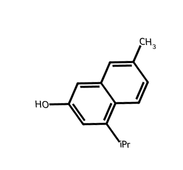 Cc1ccc2c(C(C)C)cc(O)cc2c1